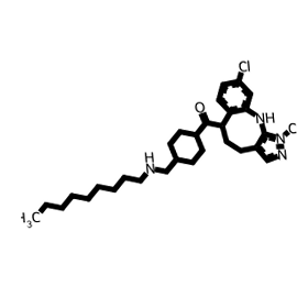 CCCCCCCCCNCC1CCC(C(=O)C2CCc3cnn(C)c3Nc3cc(Cl)ccc32)CC1